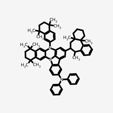 CC1c2ccccc2C2(C)CCCCC2(C)CC1c1cc2c3c(c1)N(c1ccc4c(c1)C(C)(C)CCC4(C)C)c1cc4c(cc1B3c1ccc(N(c3ccccc3)c3ccccc3)cc1-2)C(C)(C)CCC4(C)C